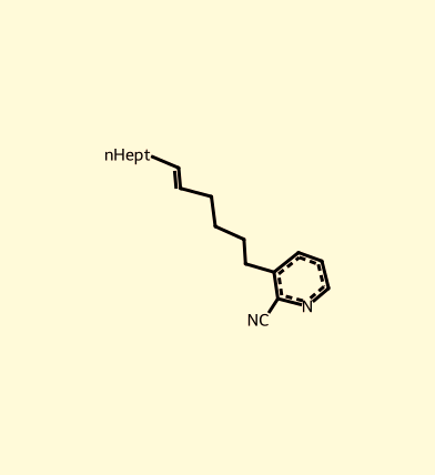 CCCCCCCC=CCCCCc1cccnc1C#N